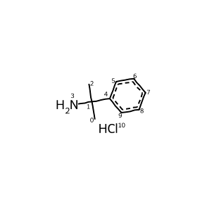 CC(C)(N)c1ccccc1.Cl